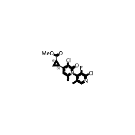 COC(=O)[C@H]1C[C@@H]1c1cc(C)n(-c2c(C)cnc(Cl)c2F)c(=O)c1Cl